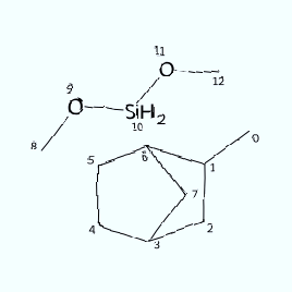 CC1CC2CCC1C2.CO[SiH2]OC